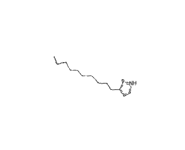 CCCCCCCCCCc1cc[nH]p1